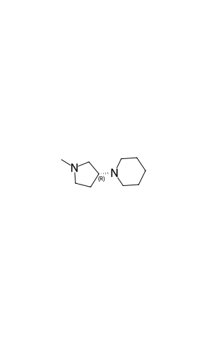 CN1CC[C@@H](N2CCCCC2)C1